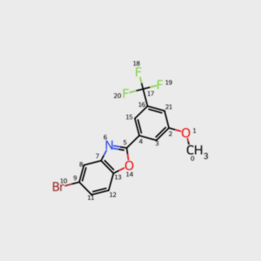 COc1cc(-c2nc3cc(Br)ccc3o2)cc(C(F)(F)F)c1